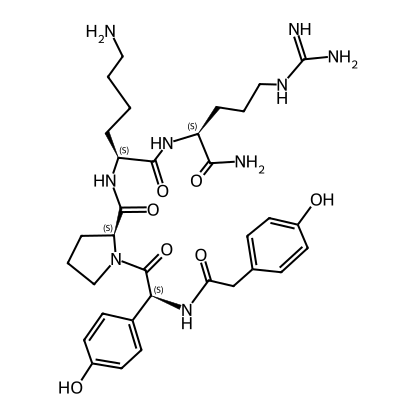 N=C(N)NCCC[C@H](NC(=O)[C@H](CCCCN)NC(=O)[C@@H]1CCCN1C(=O)[C@@H](NC(=O)Cc1ccc(O)cc1)c1ccc(O)cc1)C(N)=O